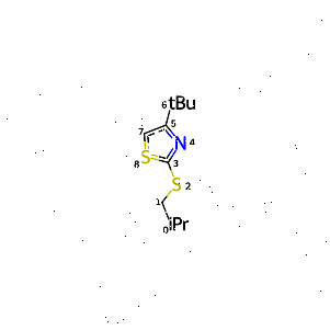 CC(C)CSc1nc(C(C)(C)C)cs1